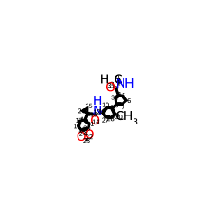 CNC(=O)c1cccc(-c2cc(NC(=O)C3(c4ccc5c(c4)OCO5)CC3)ccc2C)c1